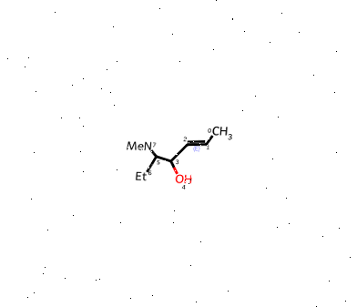 C/C=C/C(O)C(CC)NC